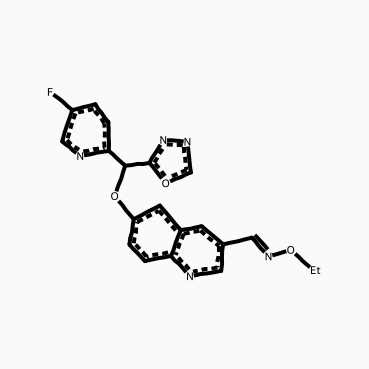 CCO/N=C/c1cnc2ccc(OC(c3ccc(F)cn3)c3nnco3)cc2c1